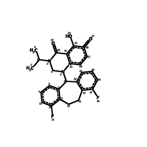 CC(C)N1CN(C2c3cccc(F)c3CCc3c(F)cccc32)n2ccc(=O)c(O)c2C1=O